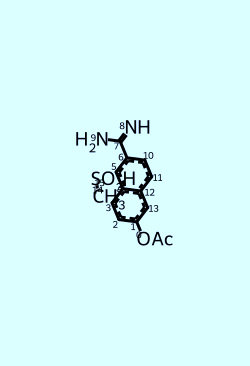 CC(=O)Oc1ccc2cc(C(=N)N)ccc2c1.CS(=O)(=O)O